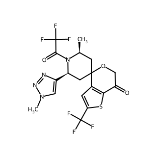 C[C@H]1CC2(C[C@@H](c3cn(C)nn3)N1C(=O)C(F)(F)F)OCC(=O)c1sc(C(F)(F)F)cc12